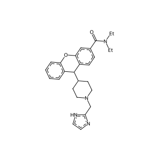 CCN(CC)C(=O)c1ccc2c(c1)Oc1ccccc1C2C1CCN(Cc2ncc[nH]2)CC1